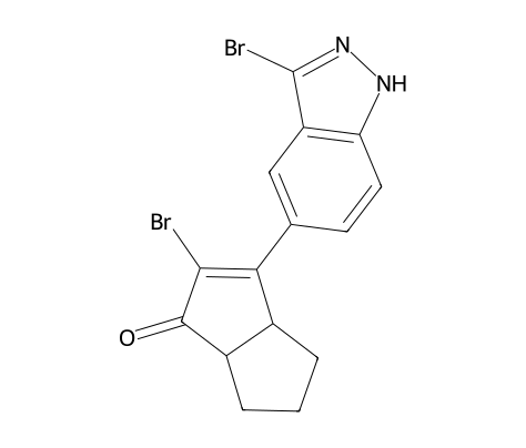 O=C1C(Br)=C(c2ccc3[nH]nc(Br)c3c2)C2CCCC12